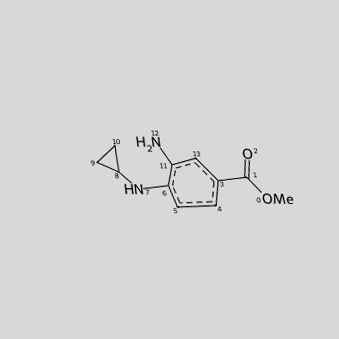 COC(=O)c1ccc(NC2CC2)c(N)c1